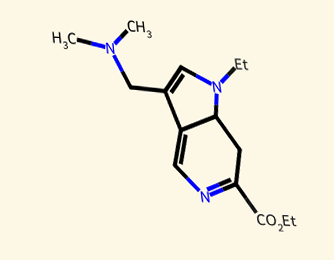 CCOC(=O)C1=NC=C2C(CN(C)C)=CN(CC)C2C1